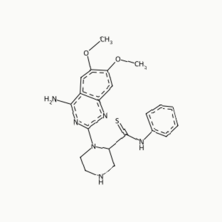 COc1cc2nc(N3CCNCC3C(=S)Nc3ccccc3)nc(N)c2cc1OC